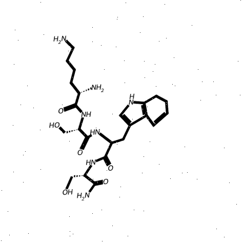 NCCCC[C@H](N)C(=O)N[C@@H](CO)C(=O)NC(Cc1c[nH]c2c1C=CCC2)C(=O)N[C@@H](CO)C(N)=O